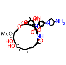 CO[C@H]1/C=C/O[C@@]2(C)Oc3c(C)c(O)c4c(=O)c(c5oc6cc(N7CCC(N)CC7)cc(O)c6nc-5c4c3C2=O)NC(=O)/C(C)=C\C=C\[C@H](C)C[C@@H](C)C[C@@H](O)[C@H](O)[C@@H]1C